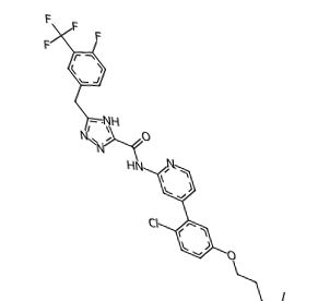 CC(C)(O)CCCOc1ccc(Cl)c(-c2ccnc(NC(=O)c3nnc(Cc4ccc(F)c(C(F)(F)F)c4)[nH]3)c2)c1